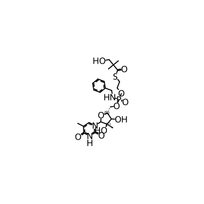 Cc1cn(C2O[C@H](COP(=O)(NCc3ccccc3)OCCSC(=O)C(C)(C)CO)C(O)[C@]2(C)O)c(=O)[nH]c1=O